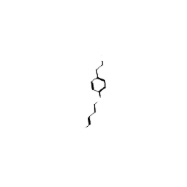 CCC=CCCOc1ccc(CCC(C)=O)cc1